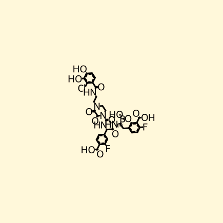 O=C(O)c1ccc(C(NC(=O)N2CCN(CCNC(=O)c3ccc(O)c(O)c3Cl)C(=O)C2=O)C(=O)N[C@H]2Cc3ccc(F)c(C(=O)O)c3OB2O)cc1F